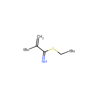 C=C(C(=N)SCC(C)(C)C)C(C)(C)C